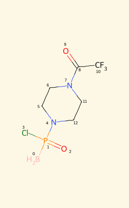 BP(=O)(Cl)N1CCN(C(=O)C(F)(F)F)CC1